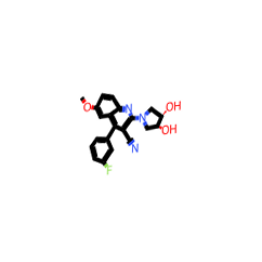 COc1ccc2nc(N3C[C@H](O)[C@@H](O)C3)c(C#N)c(-c3cccc(F)c3)c2c1